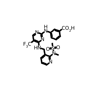 CN(c1ncccc1CNc1nc(Nc2cccc(C(=O)O)c2)ncc1C(F)(F)F)S(C)(=O)=O